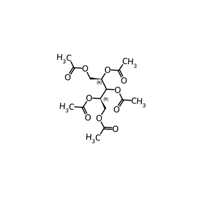 CC(=O)OC[C@@H](OC(C)=O)C(OC(C)=O)[C@@H](COC(C)=O)OC(C)=O